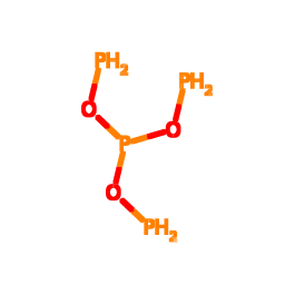 POP(OP)OP